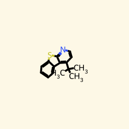 CC(C)(C)c1ccnc2sc3ccccc3c12